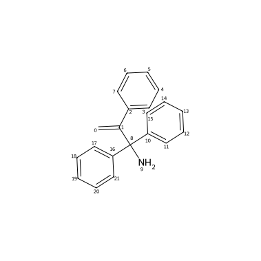 C=C(c1ccccc1)C(N)(c1ccccc1)c1ccccc1